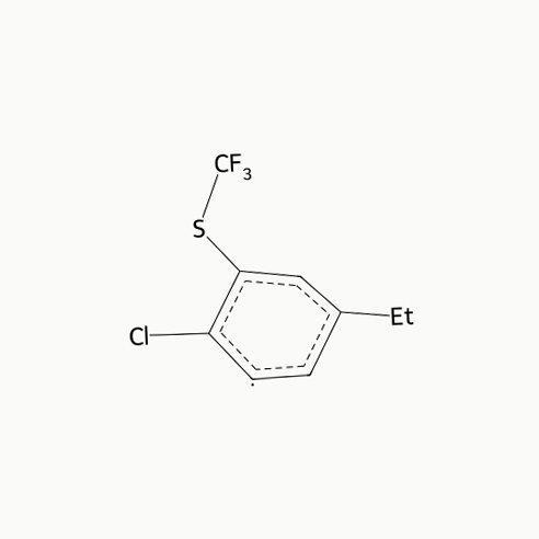 CCc1c[c]c(Cl)c(SC(F)(F)F)c1